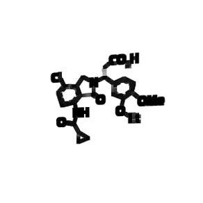 CCOc1cc([C@@H](CC(=O)O)N2Cc3c(Cl)ccc(NC(=O)C4CC4)c3C2=O)ccc1OC